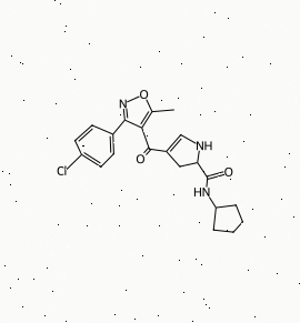 Cc1onc(-c2ccc(Cl)cc2)c1C(=O)C1=CNC(C(=O)NC2CCCC2)C1